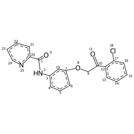 O=C(Nc1cccc(OCC(=O)c2ccccc2Cl)c1)c1ccccn1